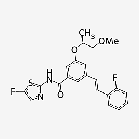 COC[C@H](C)Oc1cc(C=Cc2ccccc2F)cc(C(=O)Nc2ncc(F)s2)c1